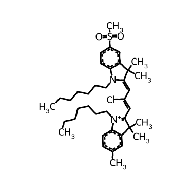 CCCCCCCN1C(=CC(Cl)=CC2=[N+](CCCCCCC)c3ccc(C)cc3C2(C)C)C(C)(C)c2cc(S(C)(=O)=O)ccc21